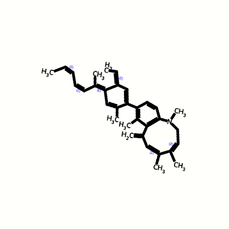 C=C1/C=C(C)\C(C)=C/CN(C)c2ccc(-c3cc(=C/C)/c(=C(C)/C=C\C=C/C)cc3C)c(C)c21